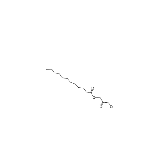 CCCCCCCCCCCC(=O)OCC(=O)C[O]